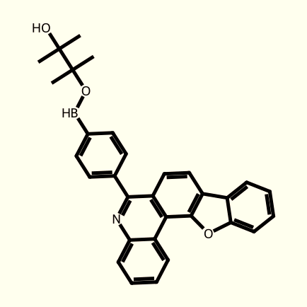 CC(C)(O)C(C)(C)OBc1ccc(-c2nc3ccccc3c3c2ccc2c4ccccc4oc23)cc1